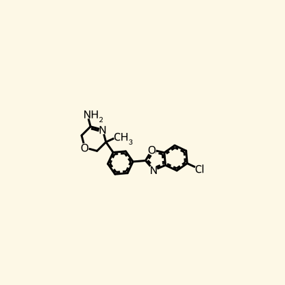 CC1(c2cccc(-c3nc4cc(Cl)ccc4o3)c2)COCC(N)=N1